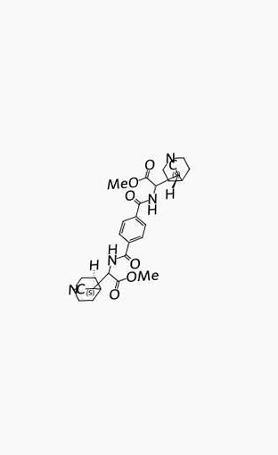 COC(=O)C(NC(=O)c1ccc(C(=O)NC(C(=O)OC)[C@@H]2CN3CCC2CC3)cc1)[C@@H]1CN2CCC1CC2